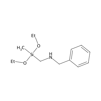 CCO[Si](C)(CNCc1ccccc1)OCC